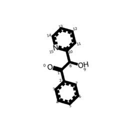 O=C(c1ccccc1)C(O)c1ccccn1